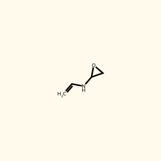 C=CNC1CO1